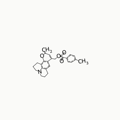 C=C1C=C(COS(=O)(=O)c2ccc(C)cc2)c2cc3c4c(c2O1)CCCN4CCC3